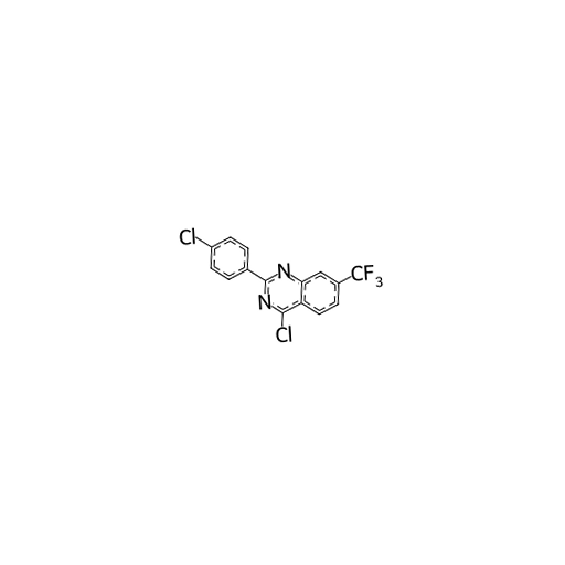 FC(F)(F)c1ccc2c(Cl)nc(-c3ccc(Cl)cc3)nc2c1